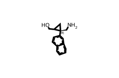 NC[C@]1(c2ccc3ccccc3c2)CC1CO